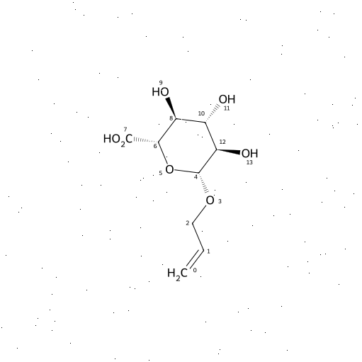 C=CCO[C@@H]1O[C@H](C(=O)O)[C@@H](O)[C@H](O)[C@H]1O